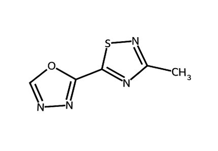 Cc1nsc(-c2nnco2)n1